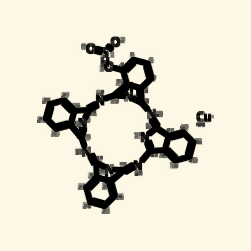 O=[SH](=O)Oc1cccc2c3nc4nc(nc5[nH]c(nc6nc(nc([nH]3)c12)-c1ccccc1-6)c1ccccc51)-c1ccccc1-4.[Cu]